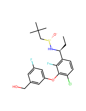 CC[C@H](N[S@@+]([O-])CC(C)(C)C)c1ccc(Cl)c(Oc2cc(F)cc(CO)c2)c1F